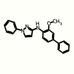 COc1cc(-c2ccccc2)ccc1Nc1ccn(-c2ccccc2)n1